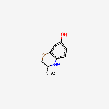 O=CC1CSc2cc(O)ccc2N1